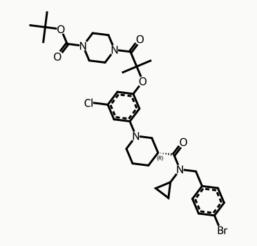 CC(C)(C)OC(=O)N1CCN(C(=O)C(C)(C)Oc2cc(Cl)cc(N3CCC[C@@H](C(=O)N(Cc4ccc(Br)cc4)C4CC4)C3)c2)CC1